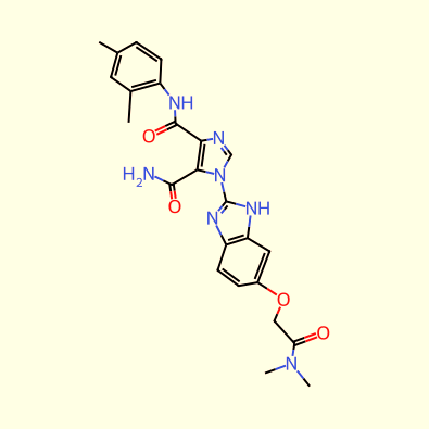 Cc1ccc(NC(=O)c2ncn(-c3nc4ccc(OCC(=O)N(C)C)cc4[nH]3)c2C(N)=O)c(C)c1